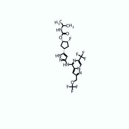 CC(C)NC(=O)O[C@H]1C[C@@H](c2cc(Nc3nc(C(F)(F)F)cn4nc(COC(F)(F)F)cc34)n[nH]2)C[C@H]1F